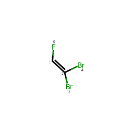 FC=C(Br)Br